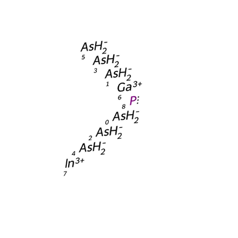 [AsH2-].[AsH2-].[AsH2-].[AsH2-].[AsH2-].[AsH2-].[Ga+3].[In+3].[P]